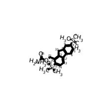 C[Si](C)(C)c1ccc2c(c1)Cc1c-2ccc([Si](C)(C)C)c1COC(N)=O